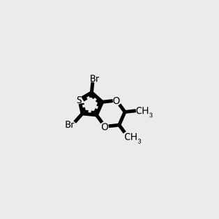 CC1Oc2c(Br)sc(Br)c2OC1C